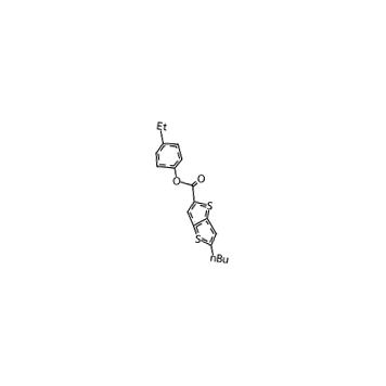 CCCCc1cc2sc(C(=O)Oc3ccc(CC)cc3)cc2s1